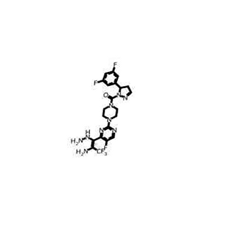 NN/C(=C(\N)C(F)(F)F)c1nc(N2CCN(C(=O)N3N=CCC3c3cc(F)cc(F)c3)CC2)ncc1F